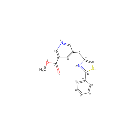 COC(=O)c1cncc(Cc2csc(-c3ccccc3)n2)c1